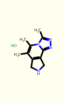 Cc1c2c(c3nnc(C)n3c1C)CNC2.Cl